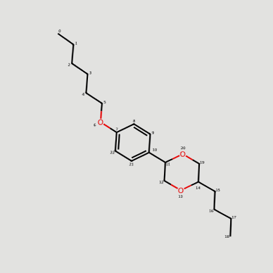 CCCCCCOc1ccc(C2COC(CCCC)CO2)cc1